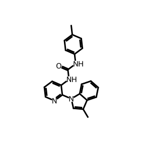 Cc1ccc(NC(=O)Nc2cccnc2-n2cc(C)c3ccccc32)cc1